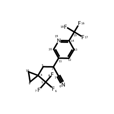 N#CC(CC1(C(F)(F)F)CC1)c1ccc(C(F)(F)F)nc1